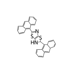 C1=CC2C=c3ccccc3=C(C3Nc4sc(-c5c6ccccc6cc6ccccc56)nc4S3)C2C=C1